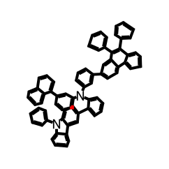 c1ccc(-c2c(-c3ccccc3)c3cc(-c4cccc(N(c5cccc(-c6cccc7ccccc67)c5)c5ccccc5-c5ccc6c(c5)c5ccccc5n6-c5ccccc5)c4)ccc3c3ccccc23)cc1